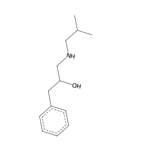 CC(C)CNCC(O)Cc1ccccc1